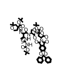 CC(C)(C)OC(=O)Nc1nc(/C(=N/OC2(C(=O)OC(C)(C)C)CCOC(C)(C)C2)C(=O)N[C@H]2CON(C3(C(=O)OC(C)(C)C)C[C@H](N4C(=O)c5cc6c(cc5C4=O)OC(c4ccccc4)(c4ccccc4)O6)C(=O)O3)C2=O)cs1